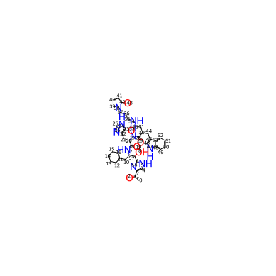 CC(=O)c1c[nH]c([C@@H](O)[C@@H](CC2CCCCC2)NC(=O)[C@H](Cc2c[nH]cn2)NC(=O)[C@@H](CC(=O)NCCCN2CCCC2=O)Cc2c[nH]c3ccccc23)n1